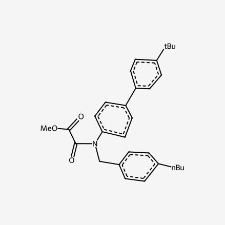 CCCCc1ccc(CN(C(=O)C(=O)OC)c2ccc(-c3ccc(C(C)(C)C)cc3)cc2)cc1